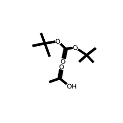 CC(=O)O.CC(C)(C)OC(=O)OC(C)(C)C